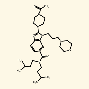 CC(=O)N1CCC(c2nc3ccc(C(=O)N(CCC(C)C)CCC(C)C)nc3n2CCCN2CCOCC2)CC1